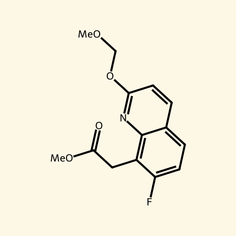 COCOc1ccc2ccc(F)c(CC(=O)OC)c2n1